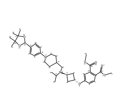 COC(=O)c1ccc(O[C@H]2C[C@H](N(CC3CCN(c4ccc(B5OC(C)(C)C(C)(C)O5)cc4)CC3)C(C)C)C2)cc1C(=O)OC